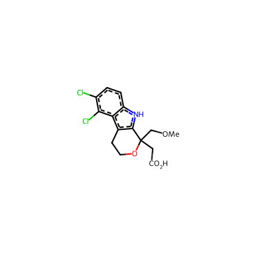 COCC1(CC(=O)O)OCCc2c1[nH]c1ccc(Cl)c(Cl)c21